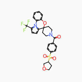 O=C(c1ccc(S(=O)(=O)[C@H]2CCOC2)cc1)N1CCC2(CC1)Oc1ccccc1-n1c(C(F)(F)F)ccc12